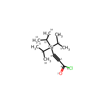 CC(C)[Si](C#CC(=O)Cl)(C(C)C)C(C)C